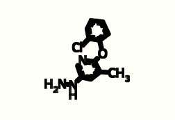 Cc1cc(NN)cnc1Oc1ccccc1Cl